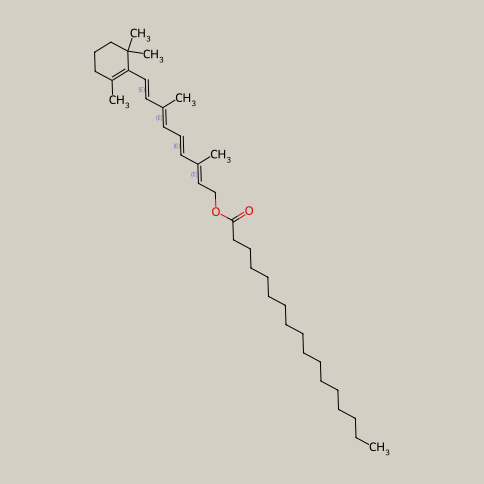 CCCCCCCCCCCCCCCCC(=O)OC/C=C(C)/C=C/C=C(C)/C=C/C1=C(C)CCCC1(C)C